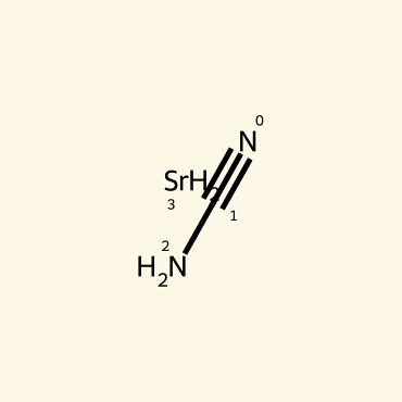 N#CN.[SrH2]